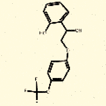 Oc1ccccc1C(O)COc1ccc(OC(F)(F)F)cc1